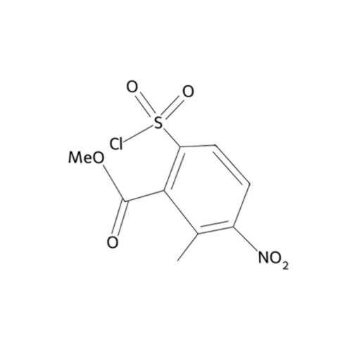 COC(=O)c1c(S(=O)(=O)Cl)ccc([N+](=O)[O-])c1C